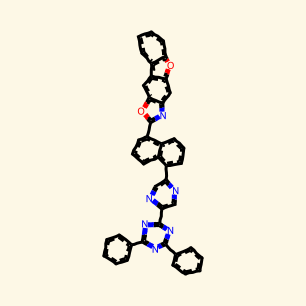 c1ccc(-c2nc(-c3ccccc3)nc(-c3cnc(-c4cccc5c(-c6nc7cc8oc9ccccc9c8cc7o6)cccc45)cn3)n2)cc1